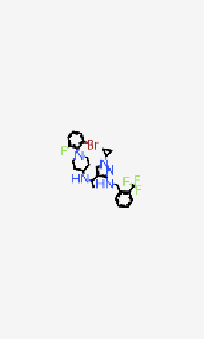 CC(NC1CCN(c2c(F)cccc2Br)CC1)c1cn(C2CC2)nc1NCc1ccccc1C(F)(F)F